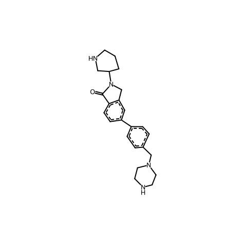 O=C1c2ccc(-c3ccc(CN4CCNCC4)cc3)cc2CN1C1CCCNC1